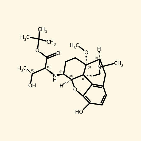 CO[C@@]12CC[C@H](N[C@H](C(=O)OC(C)(C)C)[C@@H](C)O)[C@@H]3Oc4c(O)ccc5c4[C@@]31CCN(C)[C@@H]2C5